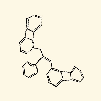 C(=C(Cc1cccc2c1-c1ccccc1-2)c1ccccc1)c1cccc2c1-c1ccccc1-2